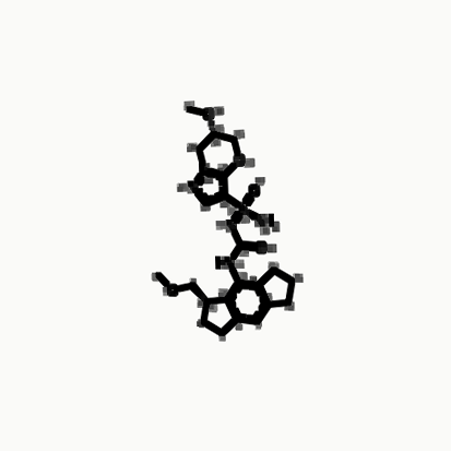 COC[C@@H]1CCc2cc3c(c(NC(=O)N=[S@@](N)(=O)c4cnn5c4OC[C@@H](OC)C5)c21)CCC3